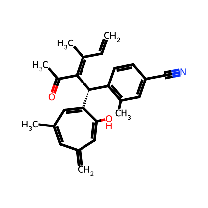 C=C/C(C)=C(/C(C)=O)[C@@H](C1=CC(C)=CC(=C)C=C1O)c1ccc(C#N)cc1C